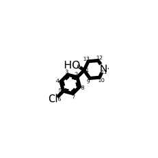 OC1(c2ccc(Cl)cc2)CC[N]CC1